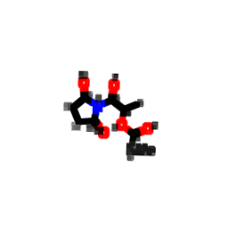 CNC(=O)OC(C)C(=O)N1C(=O)CCC1=O